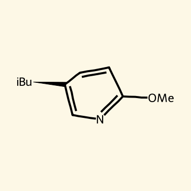 CC[C@H](C)c1ccc(OC)nc1